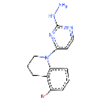 NNc1nccc(N2CCCc3c(Br)cccc32)n1